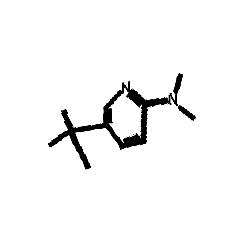 CN(C)c1ccc(C(C)(C)C)cn1